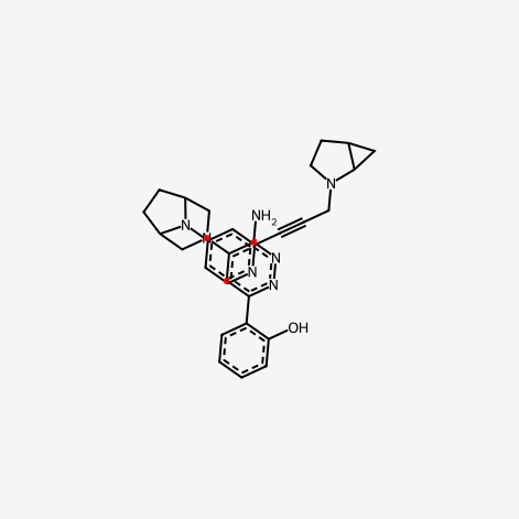 Nc1nnc(-c2ccccc2O)cc1N1CC2CCC(C1)N2c1ccnc(C#CCN2CCC3CC32)c1